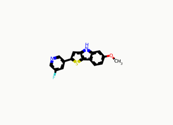 COc1ccc2c(c1)[nH]c1cc(-c3cncc(F)c3)sc12